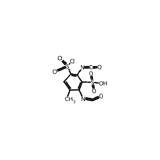 Cc1cc(S(=O)(=O)Cl)c(N=C=O)c(S(=O)(=O)O)c1N=C=O